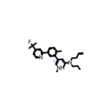 C=CCCN(CCC)/C(C)=C/C(=C\NC)c1cc(-c2cc(C(C)(C)F)ccn2)ccc1C